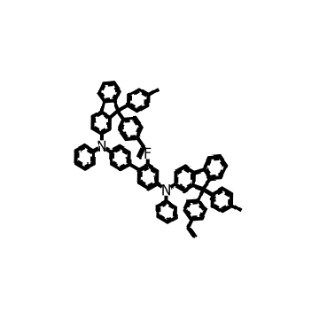 C=Cc1ccc(C2(c3ccc(C)cc3)c3ccccc3-c3ccc(N(c4ccccc4)c4ccc(-c5ccc(N(c6ccccc6)c6ccc7c(c6)C(c6ccc(C)cc6)(c6ccc(C=C)cc6)c6ccccc6-7)cc5F)cc4)cc32)cc1